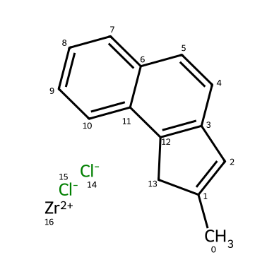 CC1=Cc2ccc3ccccc3c2C1.[Cl-].[Cl-].[Zr+2]